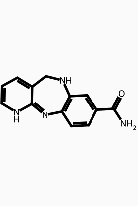 NC(=O)c1ccc2c(c1)NCC1=CC=CNC1=N2